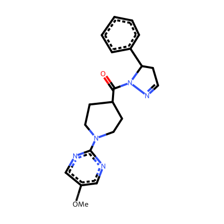 COc1cnc(N2CCC(C(=O)N3N=CCC3c3ccccc3)CC2)nc1